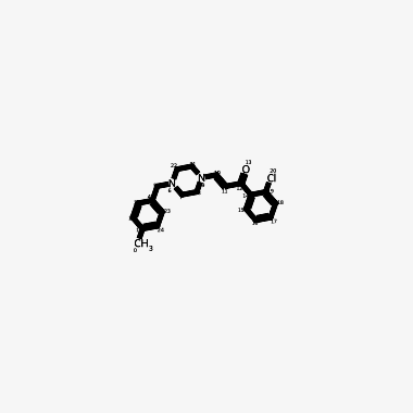 Cc1ccc(CN2CCN(C=CC(=O)c3ccccc3Cl)CC2)cc1